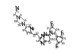 N#CCN1CCN(c2ccc(/C=C/c3cnc4ccc(N5C[C@@H](F)C[C@@H]5c5cc(F)ccc5F)nn34)nc2)CC1